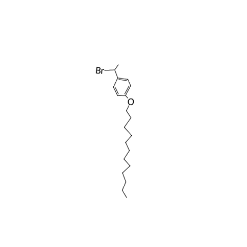 CCCCCCCCCCCCOc1ccc(C(C)Br)cc1